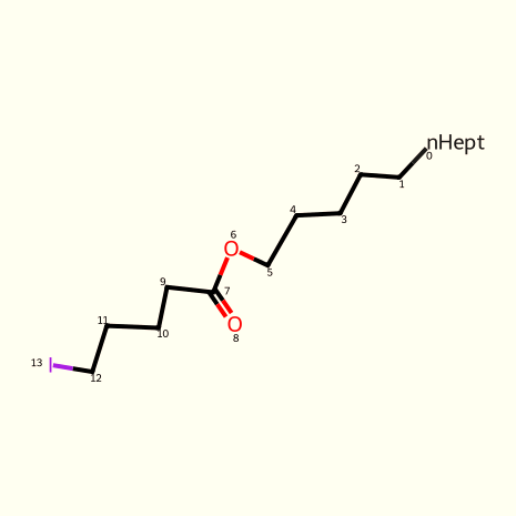 CCCCCCCCCCCCOC(=O)CCCCI